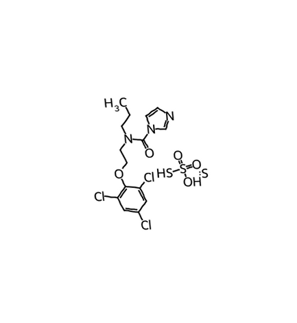 CCCN(CCOc1c(Cl)cc(Cl)cc1Cl)C(=O)n1ccnc1.O=S(=O)(O)S.[S]